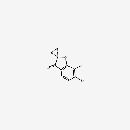 O=C1c2ccc(Br)c(F)c2OC12CC2